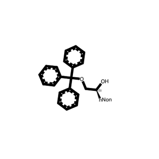 CCCCCCCCC[C@H](O)COC(c1ccccc1)(c1ccccc1)c1ccccc1